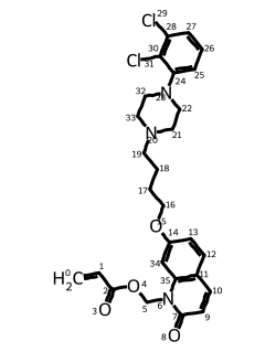 C=CC(=O)OCn1c(=O)ccc2ccc(OCCCCN3CCN(c4cccc(Cl)c4Cl)CC3)cc21